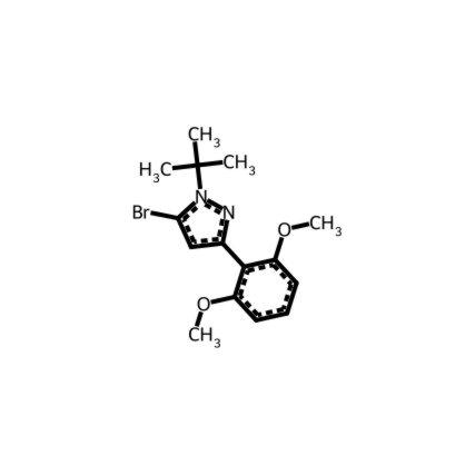 COc1cccc(OC)c1-c1cc(Br)n(C(C)(C)C)n1